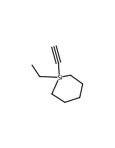 C#C[Si]1(CC)CCCCC1